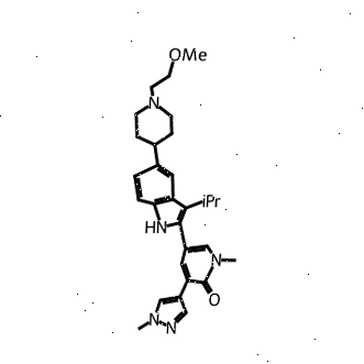 COCCN1CCC(c2ccc3[nH]c(-c4cc(-c5cnn(C)c5)c(=O)n(C)c4)c(C(C)C)c3c2)CC1